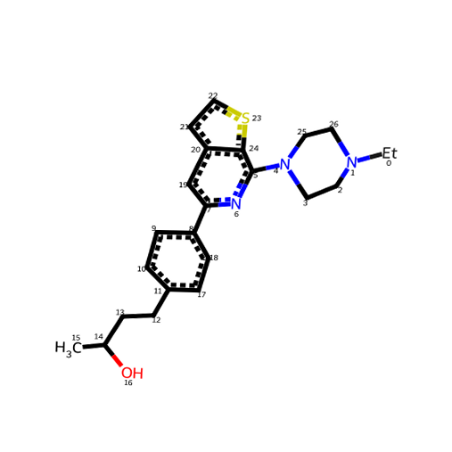 CCN1CCN(c2nc(-c3ccc(CCC(C)O)cc3)cc3ccsc23)CC1